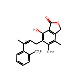 COc1c(C)c2c(c(O)c1C/C=C(/C)c1ccccc1C(=O)O)C(=O)OC2